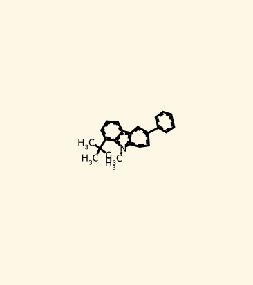 Cn1c2ccc(-c3ccccc3)cc2c2cccc(C(C)(C)C)c21